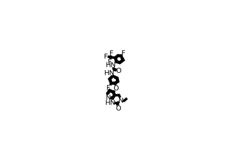 CCN1Cc2c(Oc3ccc(NC(=O)Nc4ccc(F)cc4C(F)(F)F)cc3F)ccnc2NC1=O